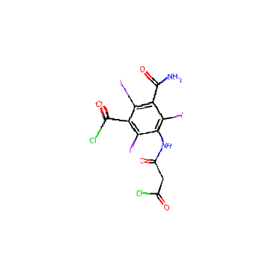 NC(=O)c1c(I)c(NC(=O)CC(=O)Cl)c(I)c(C(=O)Cl)c1I